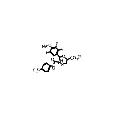 CCOC(=O)C1CNN(C(=O)Nc2ccc(C(F)(F)F)cc2)C(c2cc(F)c(OC)c(F)c2F)O1